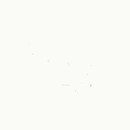 Cc1ccc(C(O)c2ccc(-n3cc(C4(c5c[nH]c6ccccc56)c5ccccc5-c5ccccc54)c4ccccc43)cc2)cc1